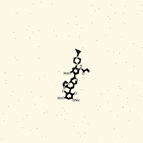 C=CC(=O)Nc1cc(C2=CC3C(C=N2)C=C(c2c(Cl)c(OC)cc(OC)c2Cl)c2nccn23)c(OC)cc1N1CCN(C2CC2)CC1